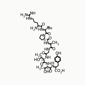 CC[C@H](C)[C@H](NC(=O)[C@@H](N)CCCNC(=N)N)C(=O)N1CCC[C@H]1C(=O)N[C@@H](C)C(=O)NCC(=O)N[C@H](C(=O)N[C@H](C(=O)N[C@@H](Cc1ccc(O)cc1)C(=O)O)[C@@H](C)O)[C@@H](C)O